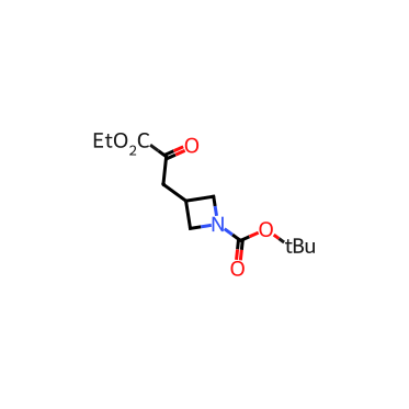 CCOC(=O)C(=O)CC1CN(C(=O)OC(C)(C)C)C1